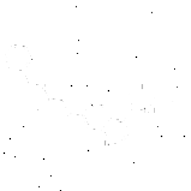 C[C@@H](NC(=O)c1ccnc2cc(OCC(=O)OCc3ccccc3)ccc12)C(=O)O